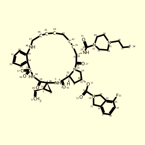 C=C[C@@H]1C[C@@]12NC(=O)[C@@H]1C[C@@H](OC(=O)N3Cc4cccc(F)c4C3)CN1C(=O)[C@@H](NC(=O)N1CCN(CCF)CC1)CCCCCCCNc1ccccc1S(=O)(=O)NC2=O